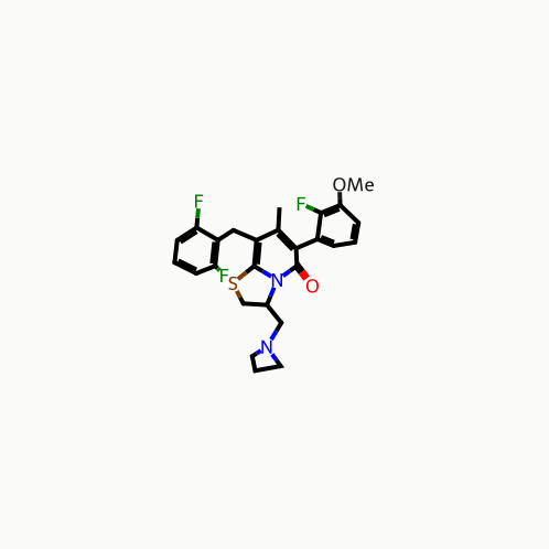 COc1cccc(-c2c(C)c(Cc3c(F)cccc3F)c3n(c2=O)C(CN2CCC2)CS3)c1F